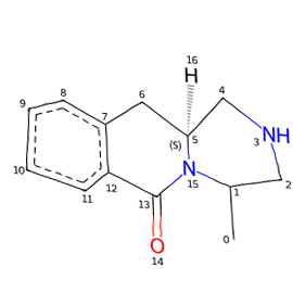 CC1CNC[C@@H]2Cc3ccccc3C(=O)N12